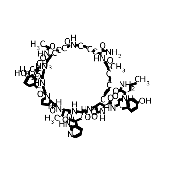 CCCC[C@H](NC(=O)[C@H](Cc1ccc(O)cc1)NC(=O)[C@H]1NC(=O)C2(C)NC(=O)[C@H](Cc3c[nH]c4ncccc34)NC(=O)[C@H]([C@@H](C)O)NC(=O)[C@@H]3CCCN3C(=O)[C@H](Cc3ccc(O)cc3)NC(=O)[C@H](C(C)(C)C)NC(=O)[C@@H](NC(C)=O)CCCC(=O)NCCCC[C@@H](C(N)=O)NC(=O)[C@H](C)CCC/C=C/CC12)C(N)=O